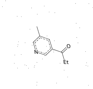 CCC(=O)c1cncc(C)c1